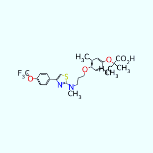 Cc1cc(OC(C)(C)C(=O)O)c(C)cc1OCCCN(C)c1nc(-c2ccc(OC(F)(F)F)cc2)cs1